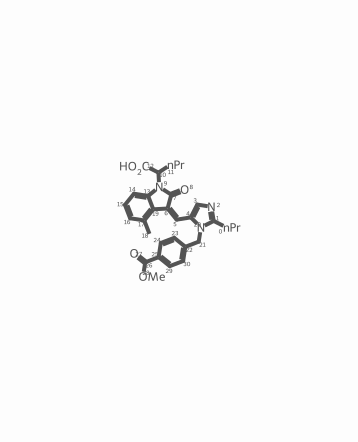 CCCc1ncc(/C=C2\C(=O)N(C(CCC)C(=O)O)c3cccc(C)c32)n1Cc1ccc(C(=O)OC)cc1